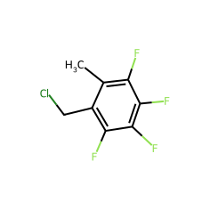 Cc1c(F)c(F)c(F)c(F)c1CCl